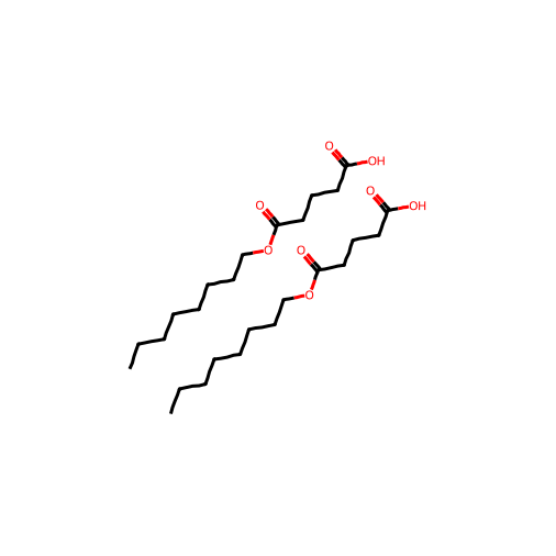 CCCCCCCCOC(=O)CCCC(=O)O.CCCCCCCCOC(=O)CCCC(=O)O